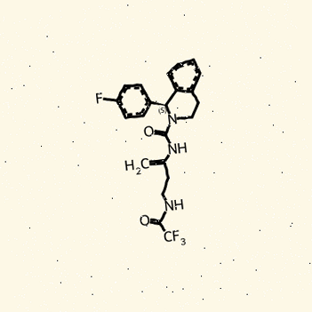 C=C(CCNC(=O)C(F)(F)F)NC(=O)N1CCc2ccccc2[C@@H]1c1ccc(F)cc1